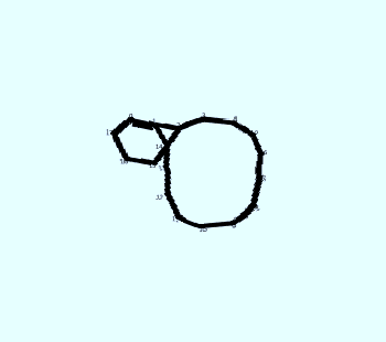 [C]1=C2C3CCCCCCCCCCCC23CCC1